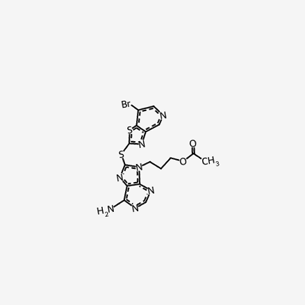 CC(=O)OCCCn1c(Sc2nc3cncc(Br)c3s2)nc2c(N)ncnc21